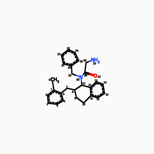 Cc1ccccc1CC1CCc2ccccc2C1N(Cc1ccccc1)C(=O)CN